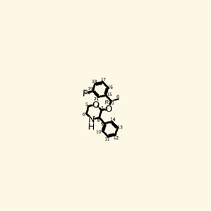 C[C@@H](OC1OCCNC1c1ccccc1)c1cccc(F)c1